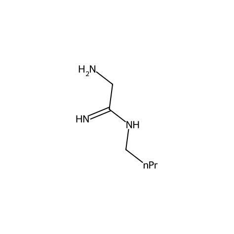 CCCCNC(=N)CN